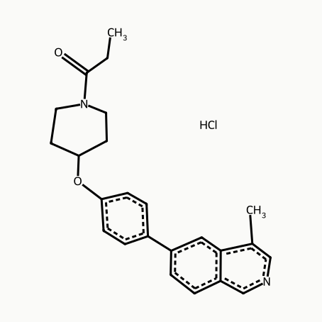 CCC(=O)N1CCC(Oc2ccc(-c3ccc4cncc(C)c4c3)cc2)CC1.Cl